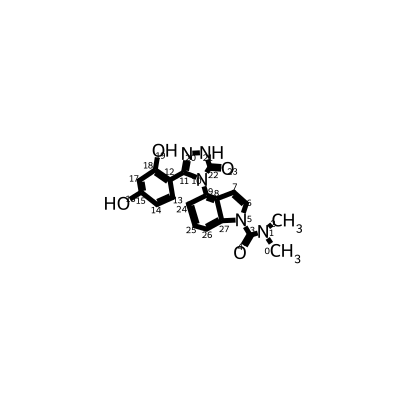 CN(C)C(=O)n1ccc2c(-n3c(-c4ccc(O)cc4O)n[nH]c3=O)cccc21